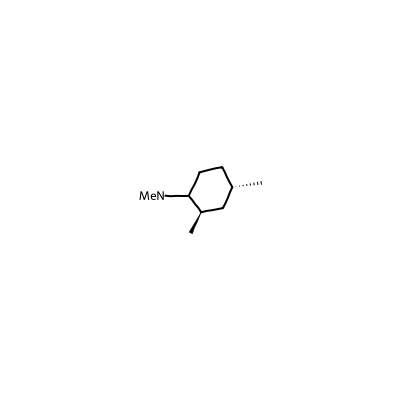 CNC1CC[C@H](C)C[C@H]1C